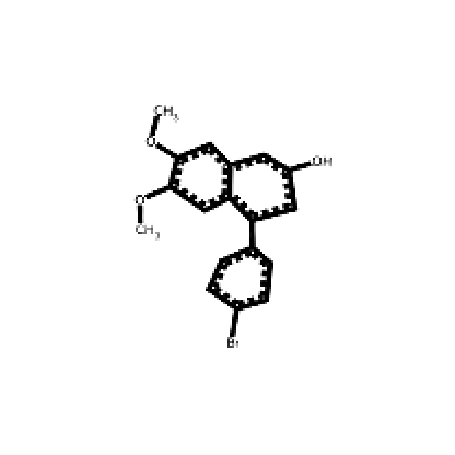 COc1cc2cc(O)cc(-c3ccc(Br)cc3)c2cc1OC